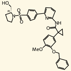 COc1ccc(C2(C(=O)Nc3cccc(-c4ccc(S(=O)(=O)N5CCC[C@@H]5CO)cc4)n3)CC2)cc1OCc1ccccc1